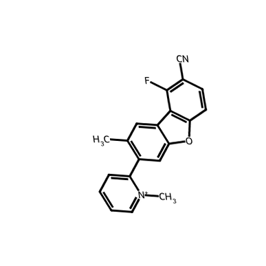 Cc1cc2c(cc1-c1cccc[n+]1C)oc1ccc(C#N)c(F)c12